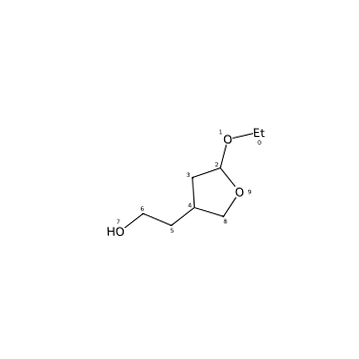 CCOC1CC(CCO)CO1